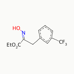 CCOC(=O)C(Cc1cccc(C(F)(F)F)c1)=NO